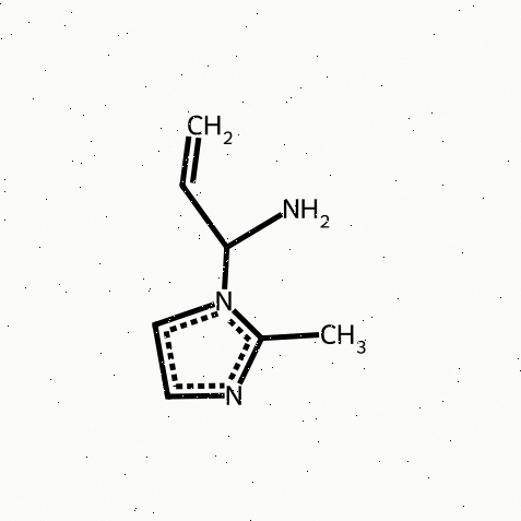 C=CC(N)n1ccnc1C